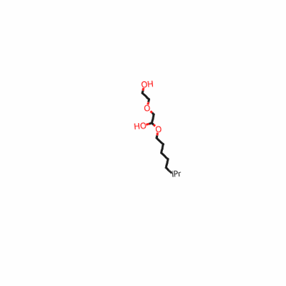 CC(C)CCCCCOC(O)COCCO